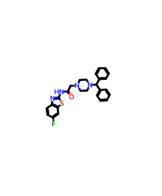 O=C(CN1CCN(C(c2ccccc2)c2ccccc2)CC1)Nc1nc2ccc(F)cc2s1